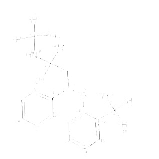 [2H]C([2H])([2H])NC([2H])([2H])CC(Oc1ccccc1C([2H])([2H])[2H])c1ccccc1